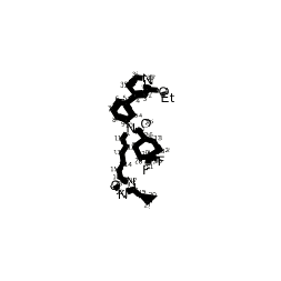 CCOc1cc(-c2cccc(N(CCCCCc3nc(C4CC4)no3)C(=O)C3CCC(F)(F)CC3)c2)ccn1